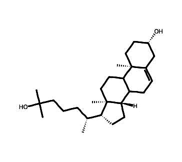 C[C@H](CCCC(C)(C)O)[C@H]1CC[C@H]2C3CC=C4C[C@@H](O)CC[C@]4(C)C3CC[C@]12C